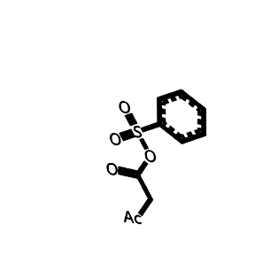 CC(=O)CC(=O)OS(=O)(=O)c1ccccc1